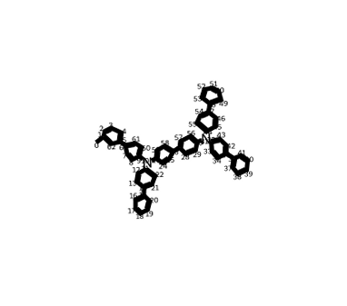 Cc1cccc(-c2ccc(N(c3ccc(-c4ccccc4)cc3)c3ccc(-c4ccc(N(c5ccc(-c6ccccc6)cc5)c5ccc(-c6ccccc6)cc5)cc4)cc3)cc2)c1